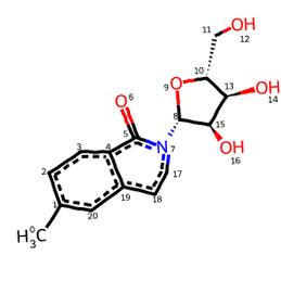 Cc1ccc2c(=O)n([C@@H]3O[C@H](CO)[C@@H](O)[C@H]3O)ccc2c1